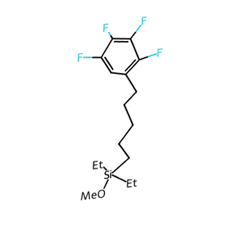 CC[Si](CC)(CCCCCc1cc(F)c(F)c(F)c1F)OC